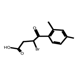 Cc1ccc(C(=O)C(Br)CC(=O)O)c(C)c1